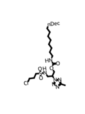 CCCCCCCCCCCCCCCCCCNC(=O)OCC(CNS(=O)(=O)CCCCl)n1nnc(C)n1